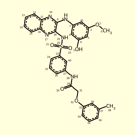 COc1cc(O)cc(Nc2nc3ccccc3nc2NS(=O)(=O)c2cccc(NC(=O)COc3cccc(C)c3)c2)c1